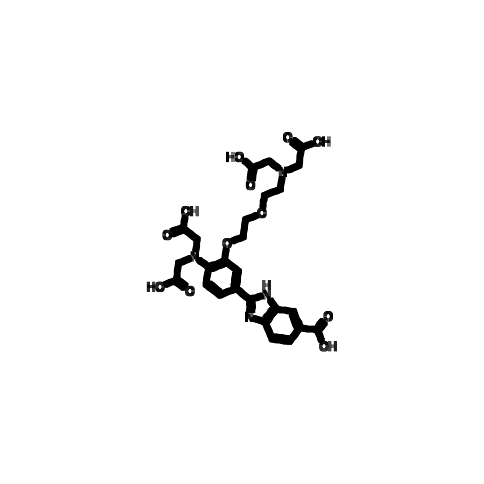 O=C(O)CN(CCOCCOc1cc(-c2nc3ccc(C(=O)O)cc3[nH]2)ccc1N(CC(=O)O)CC(=O)O)CC(=O)O